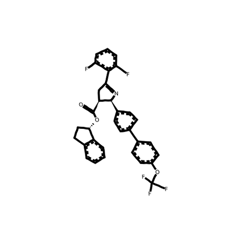 O=C(O[C@H]1CCc2ccccc21)[C@H]1CC(c2c(F)cccc2F)=N[C@H]1c1ccc(-c2ccc(OC(F)(F)F)cc2)cc1